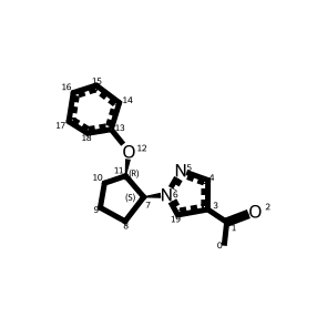 CC(=O)c1cnn([C@H]2CCC[C@H]2Oc2ccccc2)c1